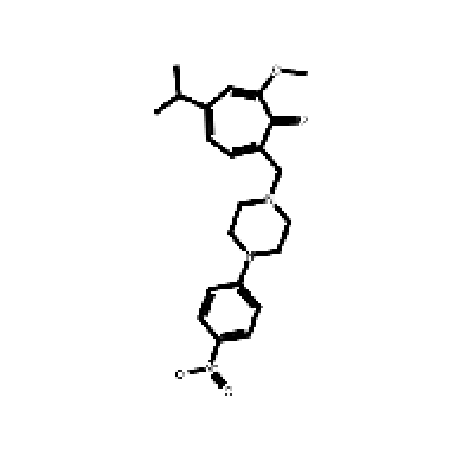 COc1cc(C(C)C)ccc(CN2CCN(c3ccc([N+](=O)[O-])cc3)CC2)c1=O